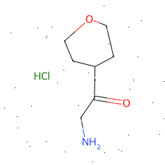 Cl.NCC(=O)C1CCOCC1